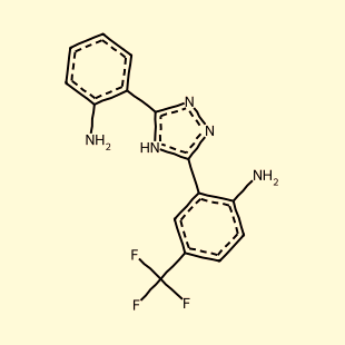 Nc1ccccc1-c1nnc(-c2cc(C(F)(F)F)ccc2N)[nH]1